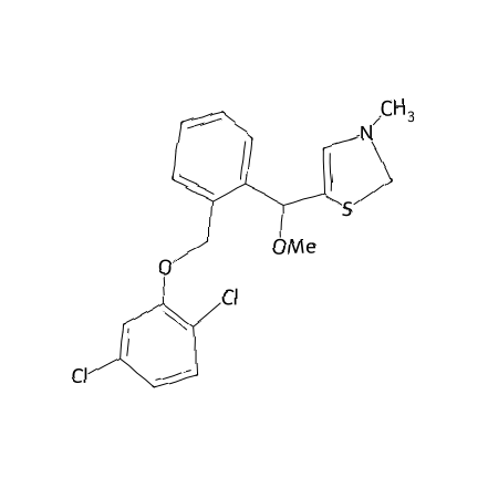 COC(C1=CN(C)CS1)c1ccccc1COc1cc(Cl)ccc1Cl